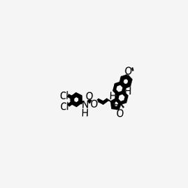 COc1ccc2c(c1)CC[C@H]1[C@@H]3[C@H](CCCOC(=O)Nc4ccc(Cl)c(Cl)c4)CC(=O)[C@@]3(C)CC[C@H]21